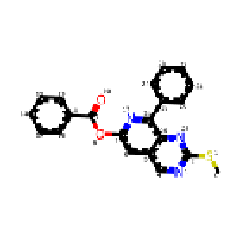 CSc1ncc2cc(OC(=O)c3ccccc3)nc(-c3ccccc3)c2n1